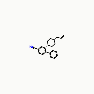 C=CC[C@H]1CC[C@H](c2cc(C#N)ccc2-c2ccccc2)CC1